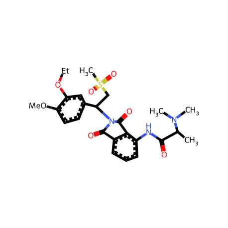 CCOc1cc(C(CS(C)(=O)=O)N2C(=O)c3cccc(NC(=O)C(C)N(C)C)c3C2=O)ccc1OC